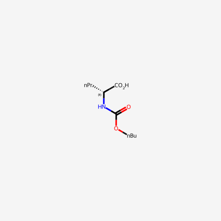 CCCCOC(=O)N[C@H](CCC)C(=O)O